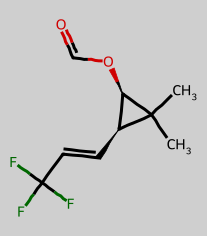 CC1(C)[C@H](OC=O)[C@@H]1/C=C/C(F)(F)F